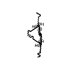 CC/C=C\C/C=C\C/C=C\CCCCCCC(O)CN(CCCSSCCN1CCN(CCOC(=O)CCC(C)N(CC(O)CCCCCC/C=C\C/C=C\CCCCC)CC(O)CCCCCC/C=C\C/C=C\CCCCC)CC1)CC(O)CCCCCC/C=C\C/C=C\C/C=C\CC